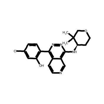 CC1(C)COCC[C@H]1Nc1nnc(-c2ccc(Cl)cc2O)c2ccncc12